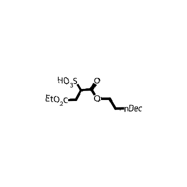 CCCCCCCCCCCCOC(=O)C(CC(=O)OCC)S(=O)(=O)O